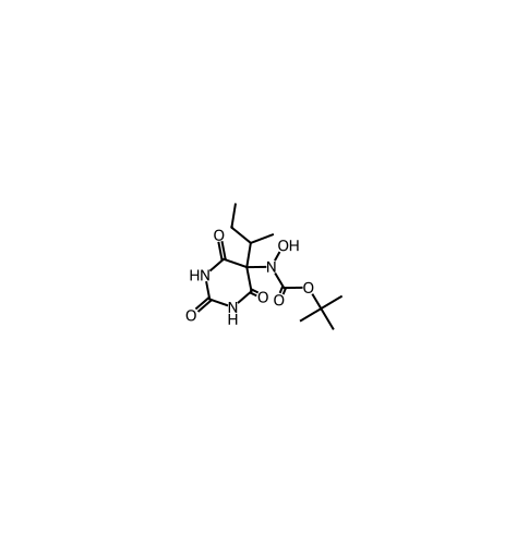 CCC(C)C1(N(O)C(=O)OC(C)(C)C)C(=O)NC(=O)NC1=O